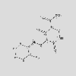 COC(=O)C1CNC(=O)N(ON=C2CCCCC2F)C1=O